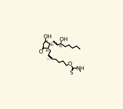 CCCCC[C@H](O)/C=C/[C@H]1[C@H](O)CC(=O)[C@@H]1C/C=C\CCCCOC(=S)NC